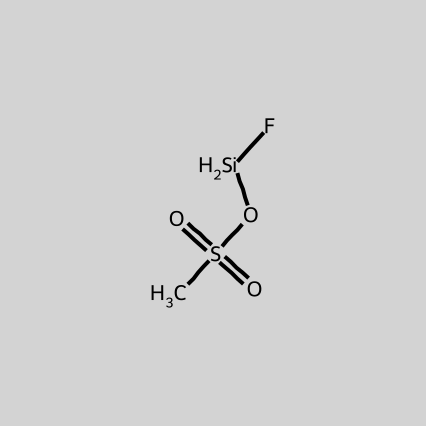 CS(=O)(=O)O[SiH2]F